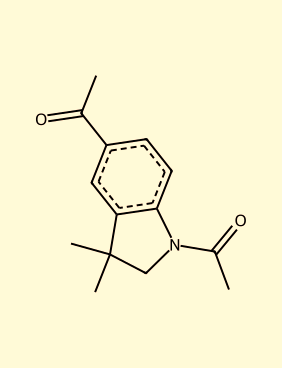 CC(=O)c1ccc2c(c1)C(C)(C)CN2C(C)=O